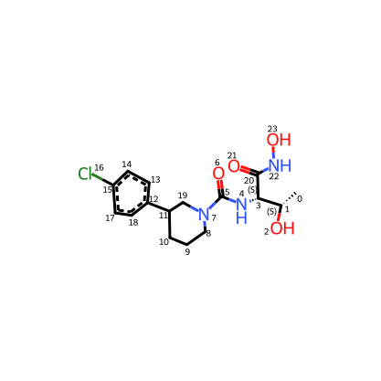 C[C@H](O)[C@H](NC(=O)N1CCCC(c2ccc(Cl)cc2)C1)C(=O)NO